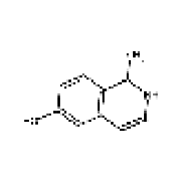 CC1N[C]=Cc2cc(O)ccc21